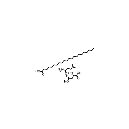 CCCCCCCCCCCCCCCCCCCCCC(=O)O.CN(C)CCC(N)=O.O=C(O)CC(O)C(=O)O